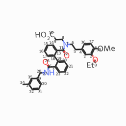 CCOc1cc(CCN(CCC(=O)O)C(=O)c2ccccc2-c2ccccc2C(=O)NCc2cccc(C)c2)ccc1OC